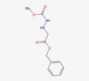 CC(C)(C)OC(=O)NNCC(=O)OCc1ccccc1